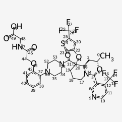 CCC[C@H]1N(C(=O)c2cnccc2C(F)(F)F)CCC[C@@]1(Oc1csc(C(F)(F)F)c1)C(=O)N1CCN(c2ccccc2OCC(=O)NCC(=O)O)CC1